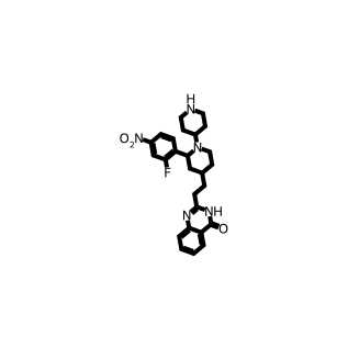 O=c1[nH]c(CCC2CCN(C3CCNCC3)C(c3ccc([N+](=O)[O-])cc3F)C2)nc2ccccc12